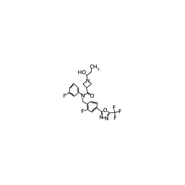 CCC(O)N1CC(C(=O)N(Cc2ccc(-c3nnc(C(F)(F)F)o3)cc2F)c2cccc(F)c2)C1